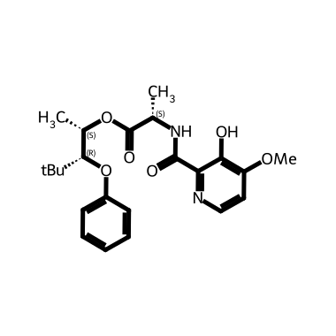 COc1ccnc(C(=O)N[C@@H](C)C(=O)O[C@@H](C)[C@H](Oc2ccccc2)C(C)(C)C)c1O